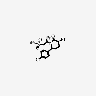 CC[C@H]1CCC(c2ccc(Cl)cc2)N(C(CS(=O)(=O)C(C)C)C(C)C)C1=O